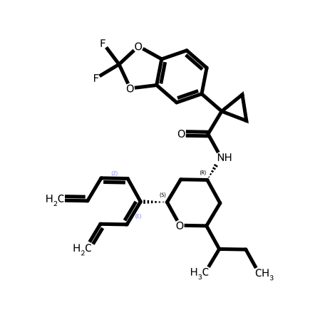 C=C/C=C\C(=C/C=C)[C@@H]1C[C@H](NC(=O)C2(c3ccc4c(c3)OC(F)(F)O4)CC2)CC(C(C)CC)O1